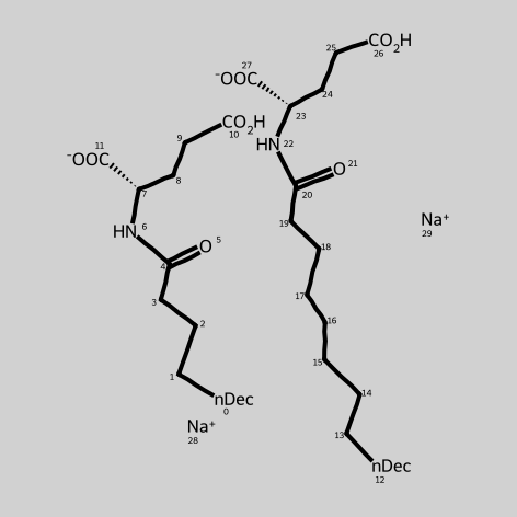 CCCCCCCCCCCCCC(=O)N[C@@H](CCC(=O)O)C(=O)[O-].CCCCCCCCCCCCCCCCCC(=O)N[C@@H](CCC(=O)O)C(=O)[O-].[Na+].[Na+]